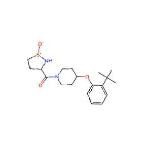 CC(C)(C)c1ccccc1OC1CCN(C(=O)C2CC[S+]([O-])N2)CC1